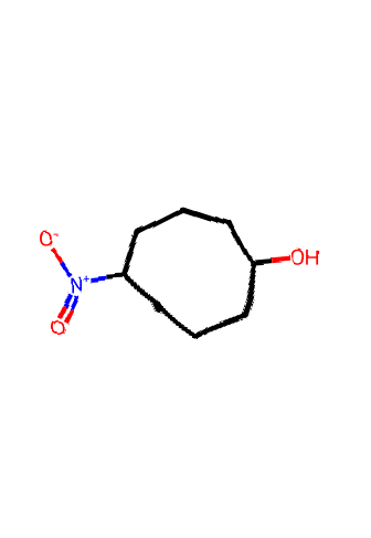 O=[N+]([O-])C1CCCC(O)CCC1